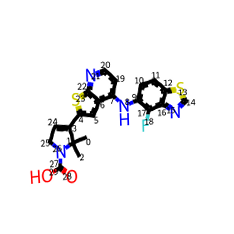 CC1(C)C(c2cc3c(Nc4ccc5scnc5c4F)ccnc3s2)=CCN1C(=O)O